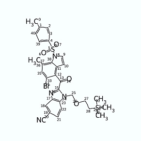 Cc1ccc(S(=O)(=O)n2ccc3c(C(=O)c4nc5cc(C#N)ccc5n4COCC[Si](C)(C)C)c(Br)cc(C)c32)cc1